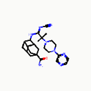 CC(C)(/C(=N\C#N)NC1C2CC3CC1CC(C(N)=O)(C3)C2)N1CCN(c2cnccn2)CC1